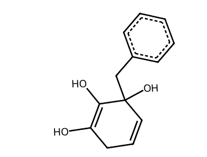 OC1=C(O)C(O)(Cc2ccccc2)C=CC1